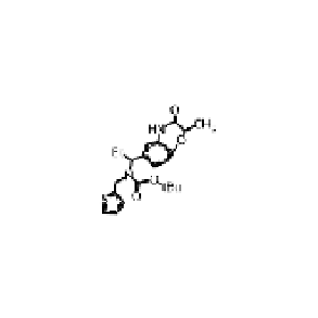 CCC(c1ccc2c(c1)NC(=O)C(C)O2)N(Cc1cccs1)C(=O)OC(C)(C)C